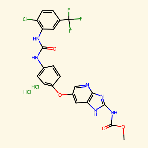 COC(=O)Nc1nc2ncc(Oc3ccc(NC(=O)Nc4cc(C(F)(F)F)ccc4Cl)cc3)cc2[nH]1.Cl.Cl